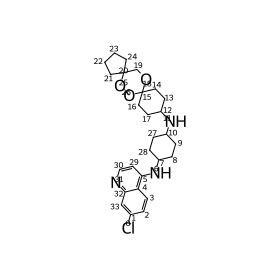 Clc1ccc2c(NC3CCC(NC4CCC5(CC4)OCC4(CCCC4)OO5)CC3)ccnc2c1